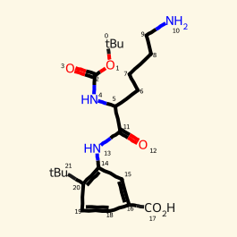 CC(C)(C)OC(=O)NC(CCCCN)C(=O)Nc1cc(C(=O)O)ccc1C(C)(C)C